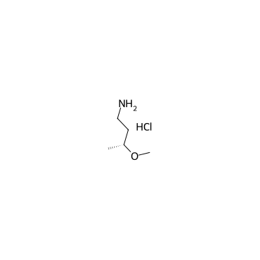 CO[C@H](C)CCN.Cl